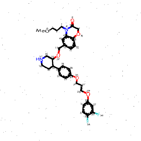 COCCCN1C(=O)COc2ccc(COC3CNCCC3c3ccc(OCCCOc4ccc(F)c(F)c4)cc3)cc21